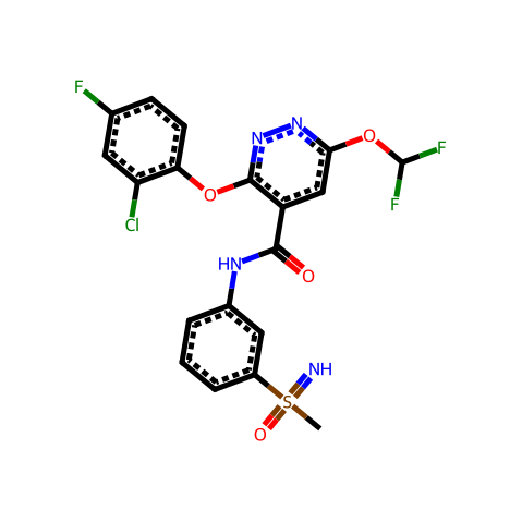 CS(=N)(=O)c1cccc(NC(=O)c2cc(OC(F)F)nnc2Oc2ccc(F)cc2Cl)c1